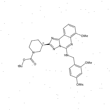 COc1ccc(CNc2nc3c(OC)cccc3c3nc([C@@H]4CCCN(C(=O)OC(C)(C)C)C4)nn23)c(OC)c1